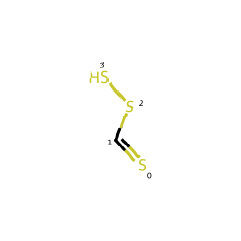 S=CSS